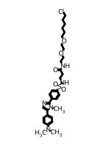 CN(C)c1ccc(-c2cnc(-c3ccc(S(=O)(=O)NCCC(=O)NCCOCCOCCCCCCCl)cc3)n2C)cc1